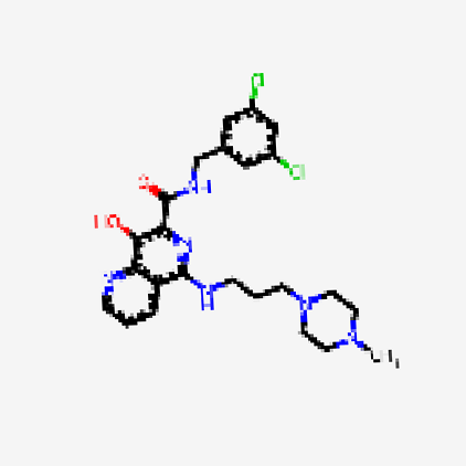 CN1CCN(CCCNc2nc(C(=O)NCc3cc(Cl)cc(Cl)c3)c(O)c3ncccc23)CC1